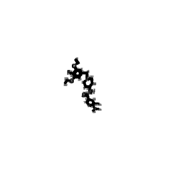 CCOc1cc(CN2CCC(NC(=O)c3cnc(N(C)C)c(C)c3)CC2)cc(OCC)c1F